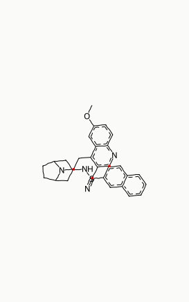 COc1ccc2ncc(C#N)c(CCN3C4CCC3CC(NSc3ccc5ccccc5c3)C4)c2c1